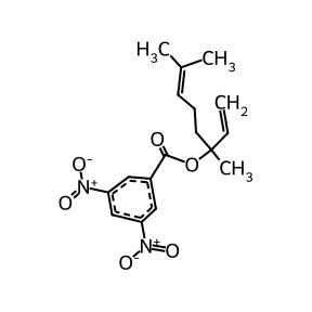 C=CC(C)(CCC=C(C)C)OC(=O)c1cc([N+](=O)[O-])cc([N+](=O)[O-])c1